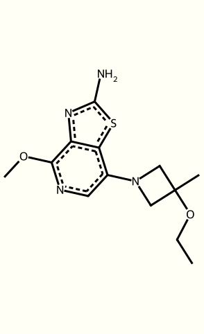 CCOC1(C)CN(c2cnc(OC)c3nc(N)sc23)C1